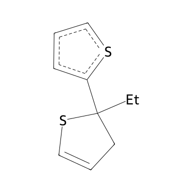 CCC1(c2cccs2)CC=CS1